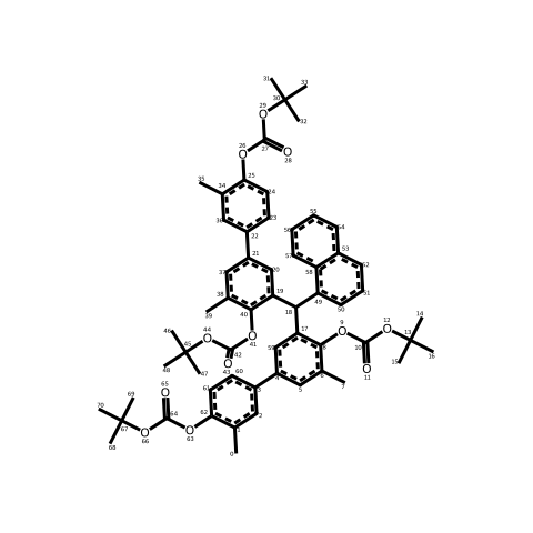 Cc1cc(-c2cc(C)c(OC(=O)OC(C)(C)C)c(C(c3cc(-c4ccc(OC(=O)OC(C)(C)C)c(C)c4)cc(C)c3OC(=O)OC(C)(C)C)c3cccc4ccccc34)c2)ccc1OC(=O)OC(C)(C)C